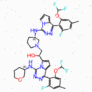 Cc1cc(F)c(-c2nnc(N[C@@H]3CCCN(CC(O)c4ccc5c(-c6c(F)cc(C)cc6OC(F)F)nnc(N[C@@H]6CCCOC6)n45)C3)n3cccc23)c(OC(F)F)c1